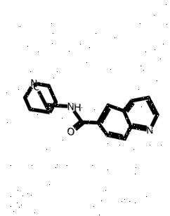 O=C(NC1CN2CCC1CC2)c1ccc2ncccc2c1